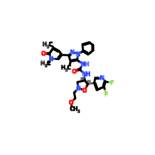 COCCN1C[C@@H](NC(=O)Nc2c(C)c(-c3cc(C)c(=O)n(C)c3)nn2-c2ccccc2)[C@H](c2cnc(F)c(F)c2)O1